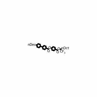 CCCCCCCCCCc1ccc(-c2ccc(C(=O)Oc3ccc(C(=O)OC(CCCCCCCC)C(F)(F)F)cc3)cc2)cc1